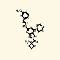 Cc1cccc(/C=N/Nc2nc3c(c(N4CCOCC4)n2)CN(C(=O)C2(N)CCC2)C3)c1